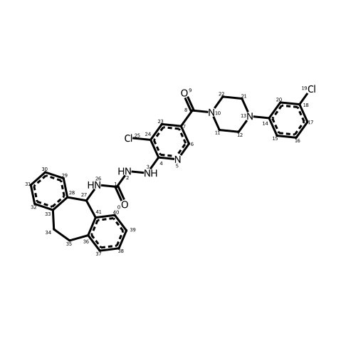 O=C(NNc1ncc(C(=O)N2CCN(c3cccc(Cl)c3)CC2)cc1Cl)NC1c2ccccc2CCc2ccccc21